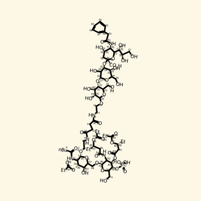 CCCCC(=O)NC1[C@H](OCCNC(=O)CCC(=O)NCCOC2OC(CO)[C@@H](O[C@@H]3OC(CO)[C@H](O)[C@H](O[C@]4(C(=O)O)C[C@@H](O)[C@@H](NC(=O)Cc5ccccc5)C([C@H](O)[C@H](O)CO)O4)C3O)[C@H](O)[C@@H]2O)OC(CO[C@@H]2OC(CO)[C@@H](OP(=O)(O)O)[C@H](OC(=O)C[C@@H](CC)OC(=O)CC)C2NC(=O)C[C@@H](CC)OC(=O)CC)[C@@H](O)[C@@H]1OC(=O)CC